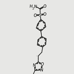 Cc1noc([CH]Cc2ccc(-c3ccc(S(=O)(=O)C(N)=O)cc3)cc2)n1